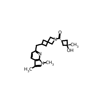 Cc1cn(C)c2nc(CC3CC4(C3)CN(C(=O)[C@H]3C[C@@](C)(O)C3)C4)ccc12